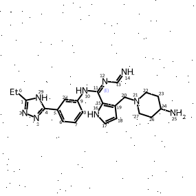 CCc1nnc(-c2cccc(N/C(=N/C=N)c3[nH]ccc3CN3CCC(N)CC3)c2)[nH]1